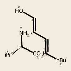 CC(C)[C@H](N)C(=O)O.CCCC/C=C/C=C/O